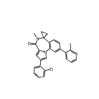 Cc1ncccc1-c1ccc2c(c1)-n1cc(-c3ccccc3Cl)cc1C(=O)N(C)C21CC1